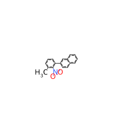 Cc1cccc(-c2ccc3ccccc3c2)c1[N+](=O)[O-]